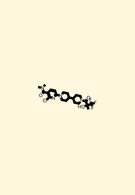 CN(C)C(=O)c1ccc(N2CCC(C3CCN(C(=O)C(C)(O)C(F)(F)F)CC3)CC2)nc1Cl